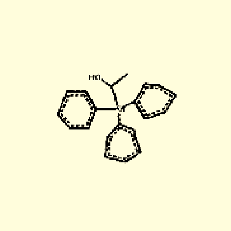 C[CH](O)[Sn]([c]1ccccc1)([c]1ccccc1)[c]1ccccc1